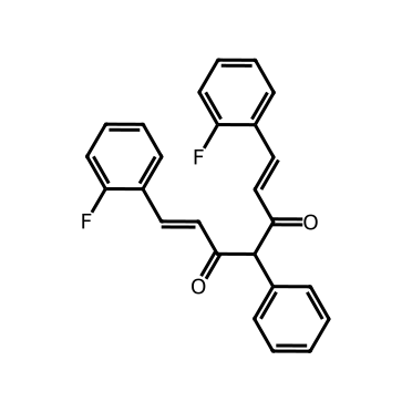 O=C(C=Cc1ccccc1F)C(C(=O)C=Cc1ccccc1F)c1ccccc1